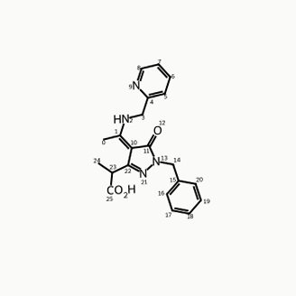 CC(NCc1ccccn1)=C1C(=O)N(Cc2ccccc2)N=C1C(C)C(=O)O